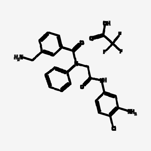 NCc1cccc(C(=O)N(CC(=O)Nc2ccc(Cl)c(N)c2)c2ccccc2)c1.O=C(O)C(F)(F)F